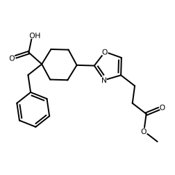 COC(=O)CCc1coc(C2CCC(Cc3ccccc3)(C(=O)O)CC2)n1